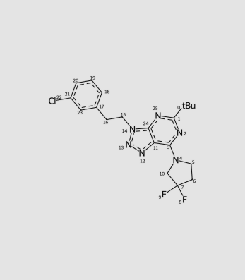 CC(C)(C)c1nc(N2CCC(F)(F)C2)c2nnn(CCc3cccc(Cl)c3)c2n1